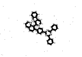 c1ccc(-c2nc(-c3ccccc3)nc(-c3ccc(-c4ccc5cccnc5c4-c4nccc5c4oc4ccccc45)cc3)n2)cc1